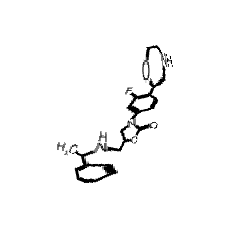 CC(NCC1CN(c2ccc(C3CNCCO3)c(F)c2)C(=O)O1)c1ccccc1